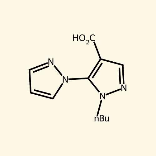 CCCCn1ncc(C(=O)O)c1-n1cccn1